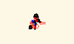 CCOC(=O)c1cc2c(-c3cc(C(C)(C)O)ccc3Oc3c(C)cccc3C)cn(C)c(=O)c2n1S(=O)(=O)c1ccc(C)cc1